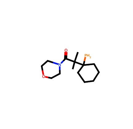 CC(C)(C(=O)N1CCOCC1)C1(P)CCCCC1